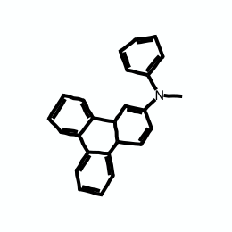 CN(C1=CC2c3ccccc3-c3ccccc3C2C=C1)c1ccccc1